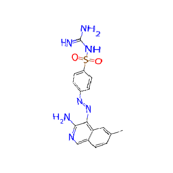 Cc1ccc2cnc(N)c(/N=N/c3ccc(S(=O)(=O)NC(=N)N)cc3)c2c1